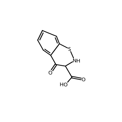 O=C(O)C1NSc2ccccc2C1=O